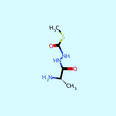 CSC(=O)NNC(=O)[C@H](C)N